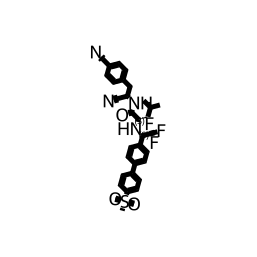 CC(C)C[C@H](N[C@@H](c1ccc(-c2ccc(S(C)(=O)=O)cc2)cc1)C(F)(F)F)C(=O)NC(C#N)Cc1ccc(C#N)cc1